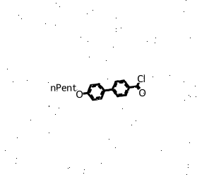 CCCCCOc1ccc(-c2ccc(C(=O)Cl)cc2)cc1